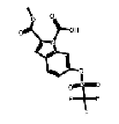 COC(=O)c1cc2ccc(OS(=O)(=O)C(F)(F)F)cc2n1C(=O)O